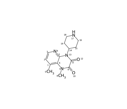 Cc1ccnc2c1n(C)c(=O)c(=O)n2C1CCNCC1